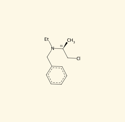 CCN(Cc1ccccc1)[C@@H](C)CCl